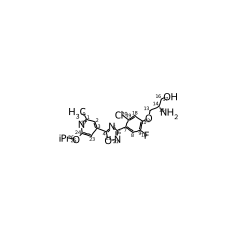 Cc1cc(-c2nc(-c3cc(F)c(OC[C@@H](N)CO)cc3Cl)no2)cc(OC(C)C)n1